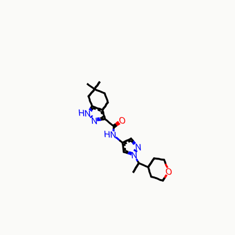 CC(C1CCOCC1)n1cc(NC(=O)c2n[nH]c3c2CCC(C)(C)C3)cn1